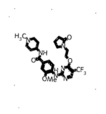 COc1cc(C(=O)NC2CCN(C)CC2)ccc1Nc1ncc(C(F)(F)F)c(OCCN2CCCC2=O)n1